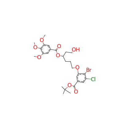 COc1cc(C(=O)OC(CCO)CCCOc2cc(C(=O)OC(C)(C)C)cc(Cl)c2Br)cc(OC)c1OC